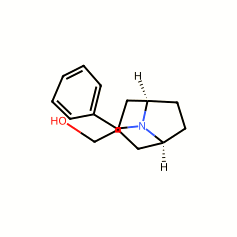 OCC1C[C@H]2CC[C@@H](C1)N2Cc1ccccc1